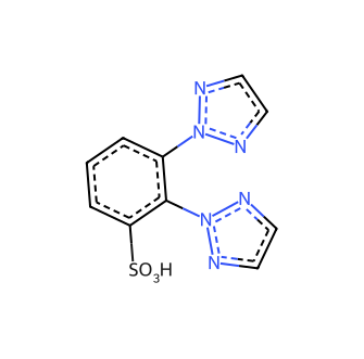 O=S(=O)(O)c1cccc(-n2nccn2)c1-n1nccn1